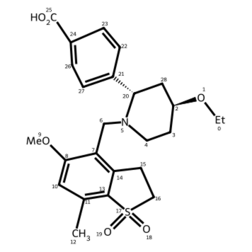 CCO[C@H]1CCN(Cc2c(OC)cc(C)c3c2CCS3(=O)=O)[C@H](c2ccc(C(=O)O)cc2)C1